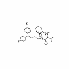 CC(C)C(C(=O)NCCCC(c1ccc(F)cc1)c1ccc(F)cc1)N(C)C1CCCCC1